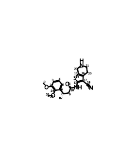 COc1cccc([C@@H](C)CC(=O)Nc2sc3c(c2C#N)CCNC3)c1OC